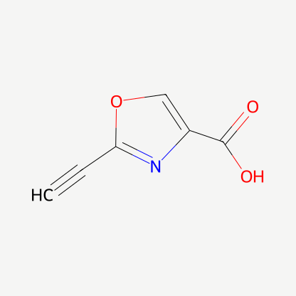 C#Cc1nc(C(=O)O)co1